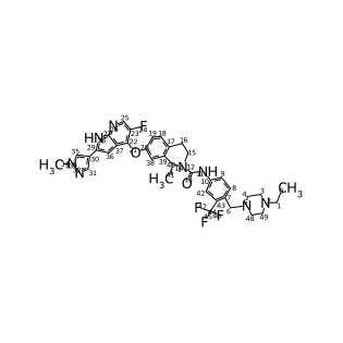 CCN1CCN(Cc2ccc(NC(=O)N3CCc4ccc(Oc5c(F)cnc6[nH]c(-c7cnn(C)c7)cc56)cc4[C@@H]3C)cc2C(F)(F)F)CC1